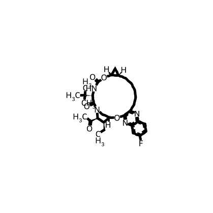 CC[C@@H]1[C@@H]2CN(C(=O)[C@H](C(C)(C)C)NC(=O)O[C@@H]3C[C@H]3CCCCCc3nc4ccc(F)cc4nc3O2)[C@@H]1C(C)=O